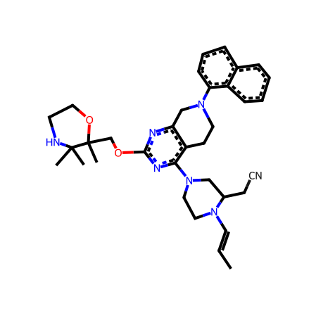 CC=CN1CCN(c2nc(OCC3(C)OCCNC3(C)C)nc3c2CCN(c2cccc4ccccc24)C3)CC1CC#N